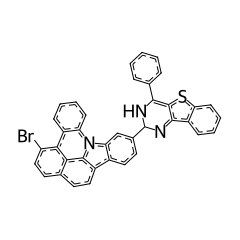 Brc1ccc2ccc3c4ccc(C5N=c6c(sc7ccccc67)=C(c6ccccc6)N5)cc4n4c5ccccc5c1c2c34